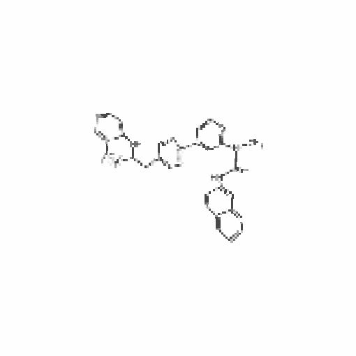 CN(C(=O)Nc1ccc2ccccc2c1)c1cccc(-c2ccc(CC(Nc3ccccc3C(=O)O)C(=O)O)cc2)c1